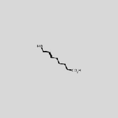 O=C(O)CCCCC=CCO